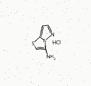 Cl.Nc1csc2ccnn12